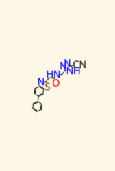 N#Cc1nnc(CNC(=O)Cc2nc3ccc(-c4ccccc4)cc3s2)[nH]1